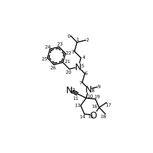 CC(C)CCN(CCN(C)C1(C#N)CCOC(C)(C)C1)Cc1ccccc1